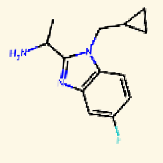 CC(N)c1nc2cc(F)ccc2n1CC1CC1